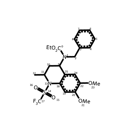 CCOC(=O)N(Cc1ccccc1)C1CC(C)N(S(=O)(=O)C(F)(F)F)c2cc(OC)c(OC)cc21